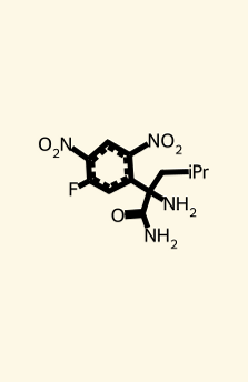 CC(C)CC(N)(C(N)=O)c1cc(F)c([N+](=O)[O-])cc1[N+](=O)[O-]